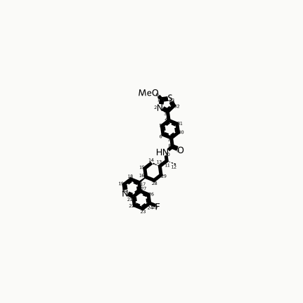 COc1nc(-c2ccc(C(=O)N[C@H](C)[C@H]3CC[C@H](c4ccnc5ccc(F)cc54)CC3)cc2)cs1